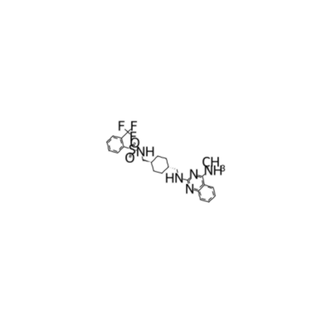 CNc1nc(NC[C@H]2CC[C@H](CNS(=O)(=O)c3ccccc3C(F)(F)F)CC2)nc2ccccc12